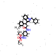 CCOP(=O)(NC1CCC(NC(=O)CC(c2cccc(C)c2)c2cn(CC3CCCCC3)c3ccccc23)CC1)OCC